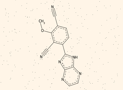 COc1c(C#N)ccc(-c2nc3nccnc3[nH]2)c1C#N